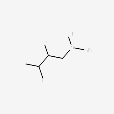 CCCC(Cl)C(CC)CN(C)CCC